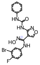 O=C(Nc1ccccc1)Nc1nocc1/C(=N/O)Nc1ccc(F)c(Br)c1